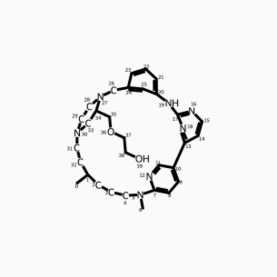 CC1CCCN(C)c2ccc(cn2)-c2ccnc(n2)Nc2cccc(c2)CN2CCN(CC1)CC2COCCO